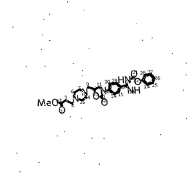 COC(=O)CCN1CCN(CC2CN(c3ccc(C(=N)NC(=O)Oc4ccccc4)cc3)C(=O)O2)CC1